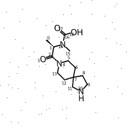 C[C@H](C(=O)N1CCC2(CCNC2)CC1)N(C)C(=O)O